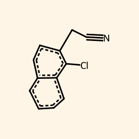 N#CCc1ccc2ccccc2c1Cl